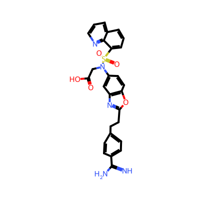 N=C(N)c1ccc(CCc2nc3cc(N(CC(=O)O)S(=O)(=O)c4cccc5cccnc45)ccc3o2)cc1